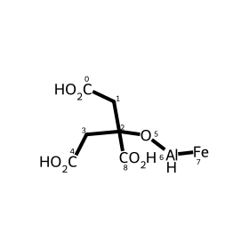 O=C(O)CC(CC(=O)O)([O][AlH][Fe])C(=O)O